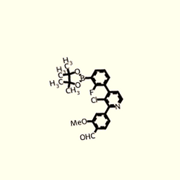 COc1cc(-c2nccc(-c3cccc(B4OC(C)(C)C(C)(C)O4)c3F)c2Cl)ccc1C=O